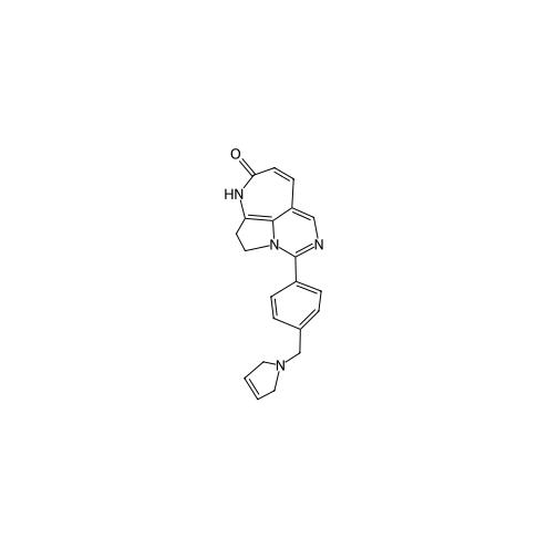 O=C1C=CC2=CN=C(c3ccc(CN4CC=CC4)cc3)N3CCC(=C23)N1